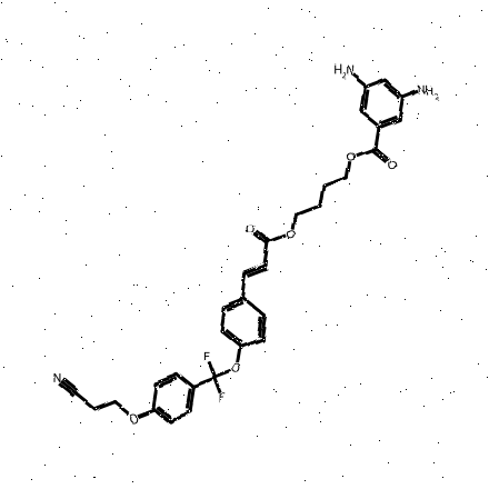 N#CCCOc1ccc(C(F)(F)Oc2ccc(/C=C/C(=O)OCCCCOC(=O)c3cc(N)cc(N)c3)cc2)cc1